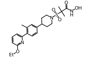 CCOc1cccc(-c2ccc(C3CCN(S(=O)(=O)C(C)(C)C(=O)NO)CC3)cc2C)n1